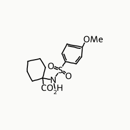 COc1ccc(S(=O)(=O)N(C)C2(C(=O)O)CCCCC2)cc1